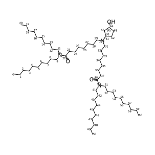 CCCCCCCCCCN(CCCCCCCCCC)C(=O)CCCCCCCN(CCCCCCCC(=O)N(CCCCCCCCCC)CCCCCCCCCC)[C@@H]1CC[C@@H](O)C1